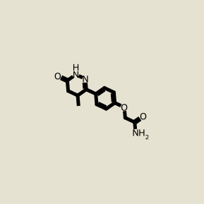 CC1CC(=O)NN=C1c1ccc(OCC(N)=O)cc1